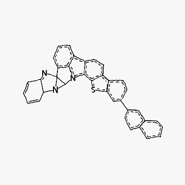 C1=CC2=NC34c5cccc6c7ccc8c9ccc(-c%10ccc%11ccccc%11c%10)cc9sc8c7n(c56)C3N4C2C=C1